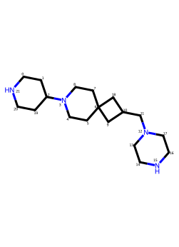 C1CC(N2CCC3(CC2)CC(CN2CCNCC2)C3)CCN1